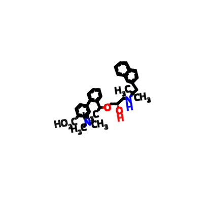 CC(OC[C@@H](O)CNC(C)(C)Cc1ccc2ccccc2c1)c1ccccc1-c1ccc(C(=O)O)c(N(C)C)c1